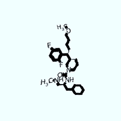 CNC[C@H](CC1CCCCC1)NC(=O)N1CCC[C@@H]([C@@H](CCCCOC)c2cc(F)ccc2F)C1